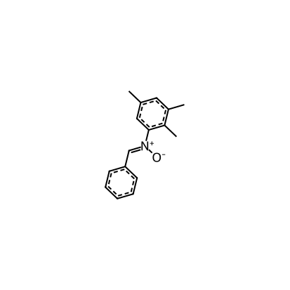 Cc1cc(C)c(C)c([N+]([O-])=Cc2ccccc2)c1